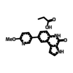 CCC(=O)O.COc1ccc(-c2ccc3[nH]c(=O)c4[nH]ccc4c3c2)cn1